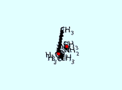 CCCCCCCCCCCCCCCC(C)C(=O)N(C)C.CCCN.I